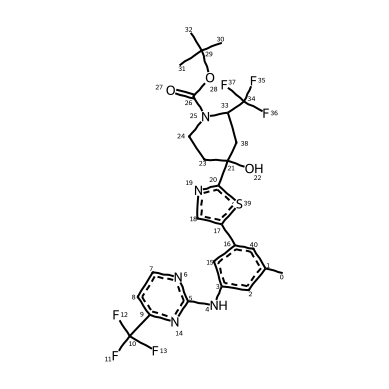 Cc1cc(Nc2nccc(C(F)(F)F)n2)cc(-c2cnc(C3(O)CCN(C(=O)OC(C)(C)C)C(C(F)(F)F)C3)s2)c1